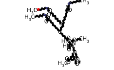 CCCCCC/C=C\COC(=O)CCCCCCCCN(CCCCCCCCC(=O)OC/C=C\CCCCCC)CCCN(CCCCCCCCC(=O)OC/C=C\CCCCCC)CCCCCC(=O)Nc1nc(OCCCC)nc2c1[nH]c(=O)n2CCCN(CCCN1CCOCC1)Cc1cccc(C(=O)OC)c1